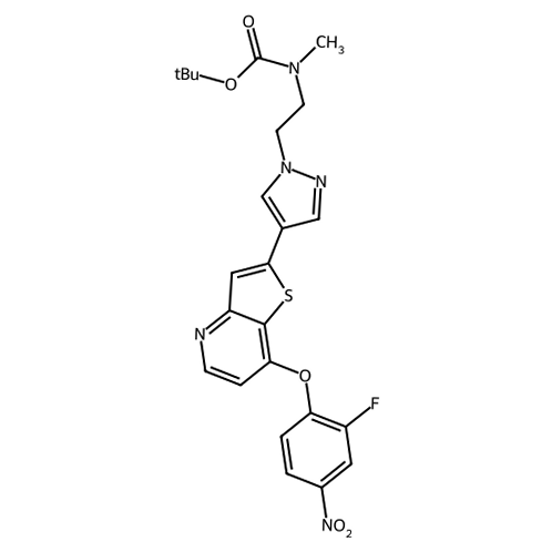 CN(CCn1cc(-c2cc3nccc(Oc4ccc([N+](=O)[O-])cc4F)c3s2)cn1)C(=O)OC(C)(C)C